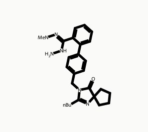 CCCCC1=NC2(CCCC2)C(=O)N1Cc1ccc(-c2ccccc2/C(=N/NC)NN)cc1